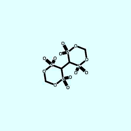 O=S1(=O)OCOS(=O)(=O)C1C1S(=O)(=O)OCOS1(=O)=O